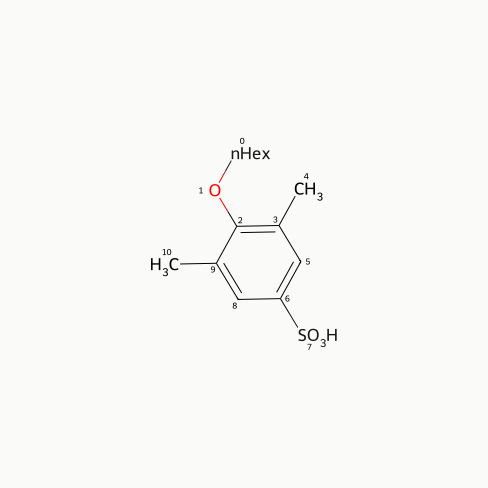 CCCCCCOc1c(C)cc(S(=O)(=O)O)cc1C